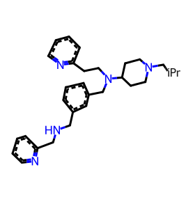 CC(C)CN1CCC(N(CCc2ccccn2)Cc2cccc(CNCc3ccccn3)c2)CC1